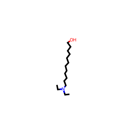 CCN(CC)CCCCCCCCCCCCO